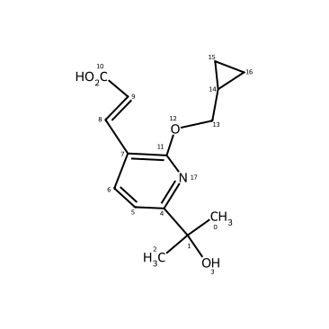 CC(C)(O)c1ccc(/C=C/C(=O)O)c(OCC2CC2)n1